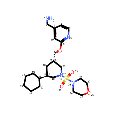 NCc1ccnc(OC[C@H]2C[C@H](C3CCCCC3)CN(S(=O)(=O)N3CCOCC3)C2)c1